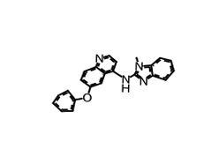 Cn1c(Nc2ccnc3ccc(Oc4ccccc4)cc23)nc2ccccc21